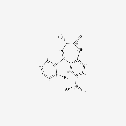 C[C@H]1N=C(c2ccccc2F)c2cc([N+](=O)[O-])ccc2NC1=O